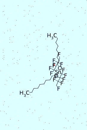 CCCCCCCCC[O][Sn]([O]CCCCCCCCC)([C](F)(F)C(F)(F)C(F)(F)CF)[C](F)(F)C(F)(F)C(F)(F)CF